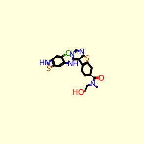 CN(CCO)C(=O)[C@H]1CCc2c(sc3ncnc(Nc4cc5s[nH]c5cc4Cl)c23)C1